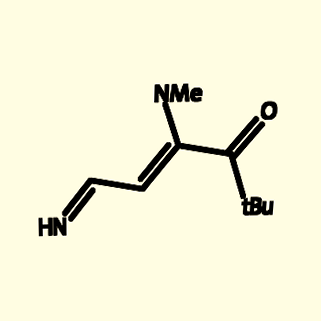 CN/C(=C\C=N)C(=O)C(C)(C)C